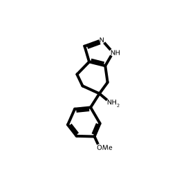 COc1cccc(C2(N)CCc3cn[nH]c3C2)c1